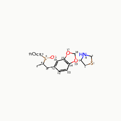 C1CSCN1.CCCCCCCC[S+]([O-])C(C)Cc1ccc2c(c1)OCO2